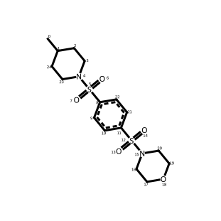 CC1CCN(S(=O)(=O)c2ccc(S(=O)(=O)N3CCOCC3)cc2)CC1